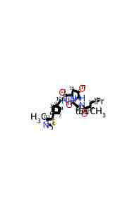 Cc1ncsc1-c1ccc(CNC(=O)C2CC(=O)CN2C(=O)C(NC(=O)C(C)CC(C)C)C(C)(C)C)cc1